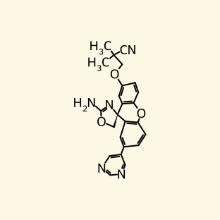 CC(C)(C#N)COc1ccc2c(c1)[C@]1(COC(N)=N1)c1cc(-c3cncnc3)ccc1O2